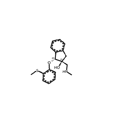 CNC[C@@]1(O)Cc2ccccc2[C@H]1Oc1ccccc1SC